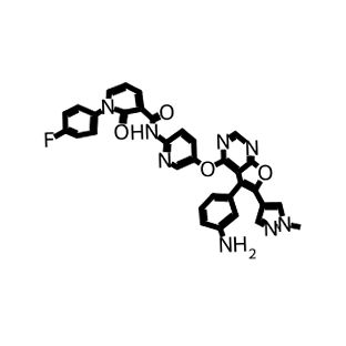 Cn1cc(-c2oc3ncnc(Oc4ccc(NC(=O)c5cccn(-c6ccc(F)cc6)c5=O)nc4)c3c2-c2cccc(N)c2)cn1